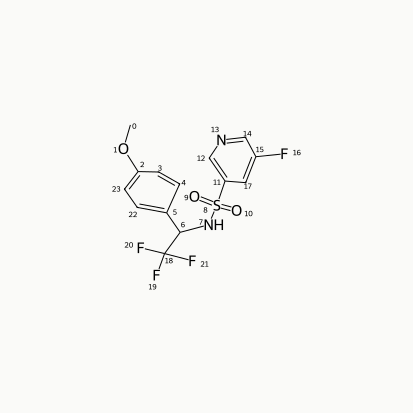 COc1ccc(C(NS(=O)(=O)c2cncc(F)c2)C(F)(F)F)cc1